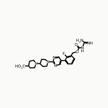 N=C(N)NC(=O)OCc1cccc(-c2cnc(N3CCC(N4CCC(C(=O)O)CC4)CC3)nc2)c1F